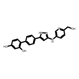 OCc1ccc(Nc2cc(-c3ccc(-c4ccc(O)cc4O)cc3)[nH]n2)cn1